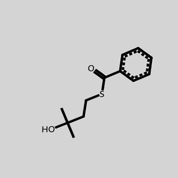 CC(C)(O)CCSC(=O)c1ccccc1